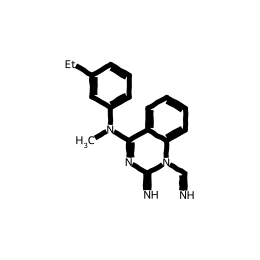 CCc1cccc(N(C)c2nc(=N)n(C=N)c3ccccc23)c1